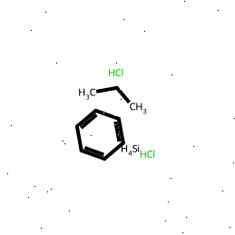 CCC.Cl.Cl.[SiH4].c1ccccc1